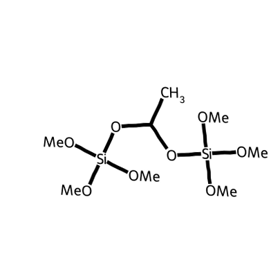 CO[Si](OC)(OC)OC(C)O[Si](OC)(OC)OC